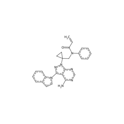 C=CC(=O)N(CC1(n2nc(-n3ccc4ccccc43)c3c(N)ncnc32)CC1)c1ccccc1